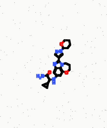 NC(=O)[C@@H](Nc1cc2c3c(c1)nc(-c1cnn(C4CCCCO4)c1)n3CCCO2)C1CC1